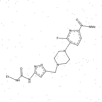 CCNC(=O)Nc1cc(CN2CCN(c3ccc(C(=O)NC)nc3F)CC2)on1